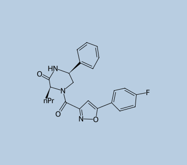 CCC[C@H]1C(=O)N[C@@H](c2ccccc2)CN1C(=O)c1cc(-c2ccc(F)cc2)on1